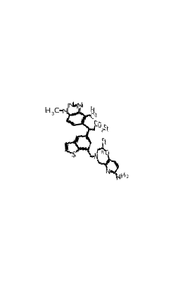 CCOC(=O)CC(c1cc(CN2Cc3nc(N)ccc3O[C@H](CC)C2)c2sccc2c1)c1ccc2c(nnn2C)c1C